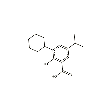 CC(C)c1cc(C(=O)O)c(O)c(C2CCCCC2)c1